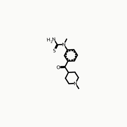 CN1CCC(C(=O)c2cccc(N(C)C(N)=S)c2)CC1